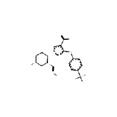 CN=C[C@H]1C[C@@H](O)CC[C@@H]1n1cc(C(N)=O)c(Nc2ccc([C@@](C)(O)C(F)(F)F)cc2)n1